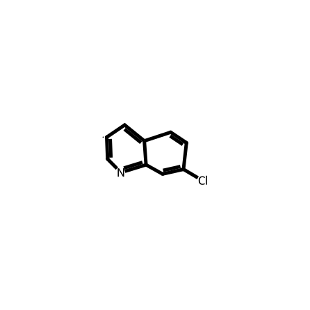 Clc1ccc2c[c]cnc2c1